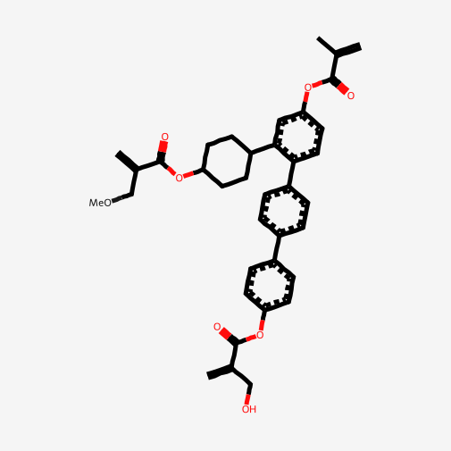 C=C(C)C(=O)Oc1ccc(-c2ccc(-c3ccc(OC(=O)C(=C)CO)cc3)cc2)c(C2CCC(OC(=O)C(=C)COC)CC2)c1